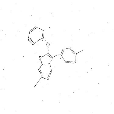 CC1=CC2SC(Oc3ccccc3)=C(c3ccc(C)cc3)C2C=C1